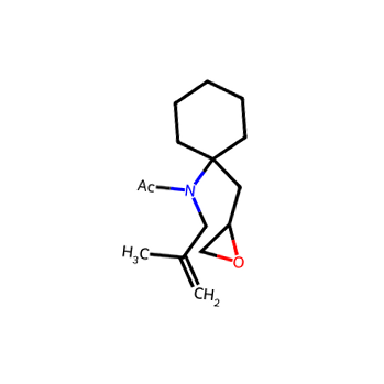 C=C(C)CN(C(C)=O)C1(CC2CO2)CCCCC1